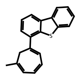 CC1=CC=CC=C(c2cccc3c2sc2ccccc23)C1